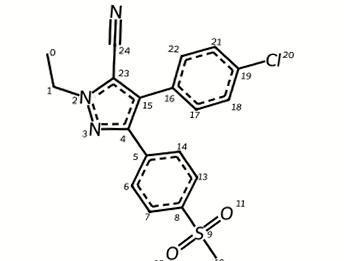 CCn1nc(-c2ccc(S(C)(=O)=O)cc2)c(-c2ccc(Cl)cc2)c1C#N